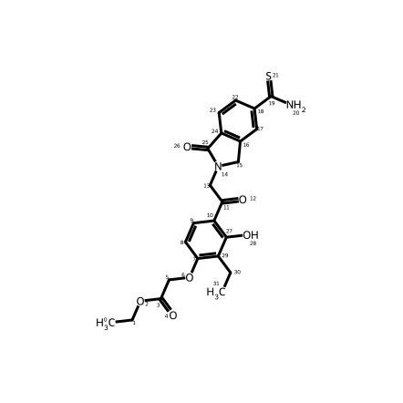 CCOC(=O)COc1ccc(C(=O)CN2Cc3cc(C(N)=S)ccc3C2=O)c(O)c1CC